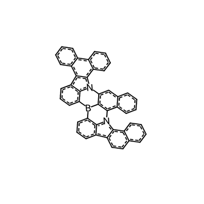 c1ccc2c3c4c(cc2c1)-n1c2c(cccc2c2c5ccccc5c5ccccc5c21)B4c1cccc2c4ccc5ccccc5c4n-3c12